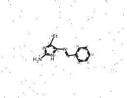 CCc1nc(N)[nH]c1N=Cc1ccccc1